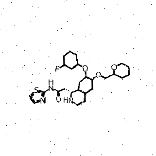 O=C(C[C@H]1NCCC2CC(OCC3CCCCO3)C(OC3CCCC(F)C3)CC21)Nc1nccs1